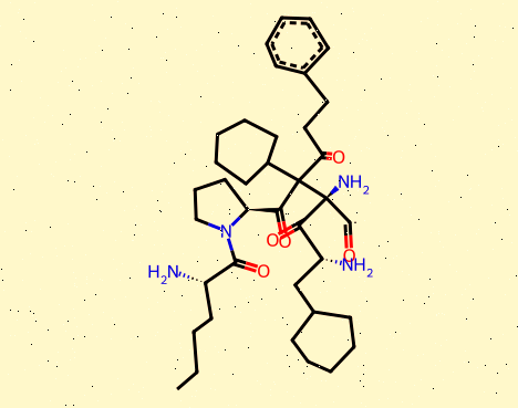 CCCC[C@H](N)C(=O)N1CCC[C@H]1C(=O)C(C(=O)CCc1ccccc1)(C1CCCCC1)[C@](N)([C]=O)C(=O)[C@H](N)CC1CCCCC1